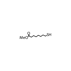 COC(=O)CCCCCCCS